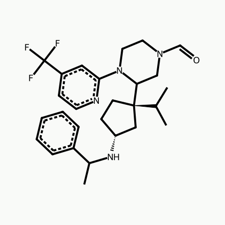 CC(N[C@@H]1CC[C@](C(C)C)(C2CN(C=O)CCN2c2cc(C(F)(F)F)ccn2)C1)c1ccccc1